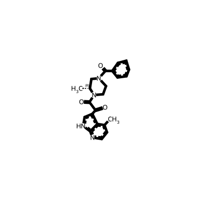 Cc1ccnc2[nH]cc(C(=O)C(=O)N3CCN(C(=O)c4ccccc4)C[C@H]3C)c12